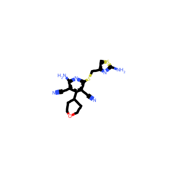 N#Cc1c(N)nc(SCc2csc(N)n2)c(C#N)c1C1CCOCC1